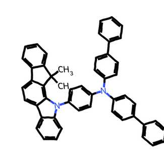 CC1(C)c2ccccc2-c2ccc3c4ccccc4n(-c4ccc(N(c5ccc(-c6ccccc6)cc5)c5ccc(-c6ccccc6)cc5)cc4)c3c21